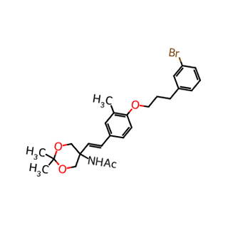 CC(=O)NC1(/C=C/c2ccc(OCCCc3cccc(Br)c3)c(C)c2)COC(C)(C)OC1